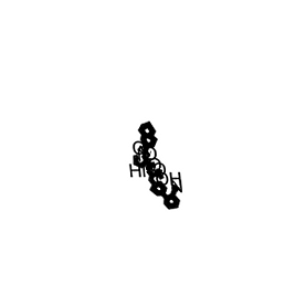 C[C@@]1(C(=O)NC(Cc2ccc(-c3ccccc3C#N)cc2)C(=O)O)CCCN1S(=O)(=O)c1ccc2ccccc2c1